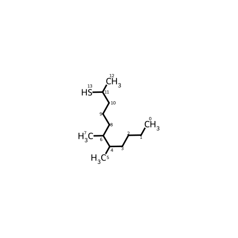 CCCCC(C)C(C)CCCC(C)S